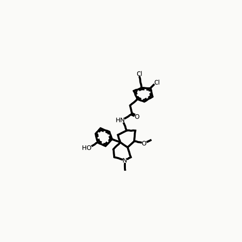 COC1CC(NC(=O)Cc2ccc(Cl)c(Cl)c2)CC2(c3cccc(O)c3)CCN(C)CC12